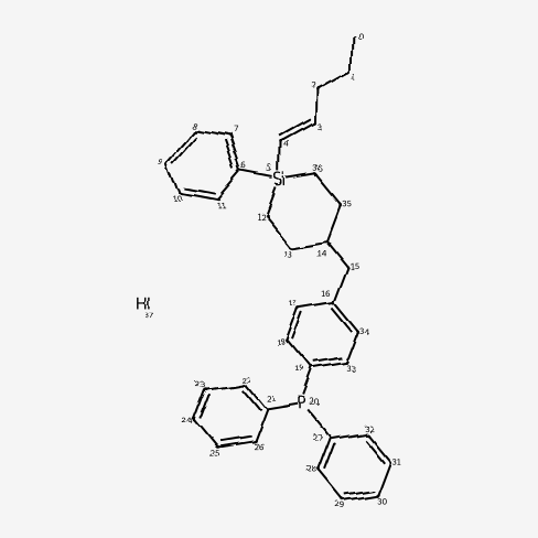 CCCC=C[Si]1(c2ccccc2)CCC(Cc2ccc(P(c3ccccc3)c3ccccc3)cc2)CC1.I